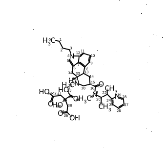 CCCCn1cc2c3c(cccc31)C1C[C@@H](C(=O)N(C)C(C)C(C)c3ccccn3)CN(C)[C@@H]1C2.O=C(O)CC(O)(CC(=O)O)C(=O)O